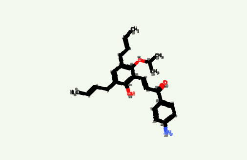 C/C=C/Cc1cc(C/C=C/C)c(OC(C)C)c(/C=C/C(=O)c2ccc(N)cc2)c1O